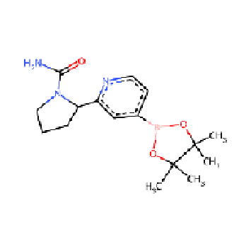 CC1(C)OB(c2ccnc(C3CCCN3C(N)=O)c2)OC1(C)C